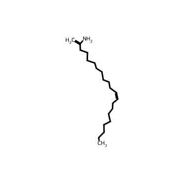 C=C(N)CCCCCCCCC/C=C\CCCCCCCC